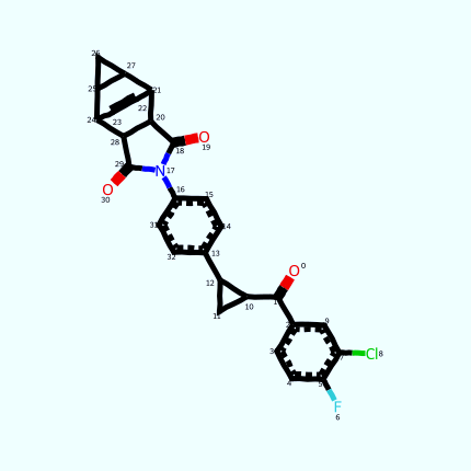 O=C(c1ccc(F)c(Cl)c1)C1CC1c1ccc(N2C(=O)C3C4C=CC(C5CC45)C3C2=O)cc1